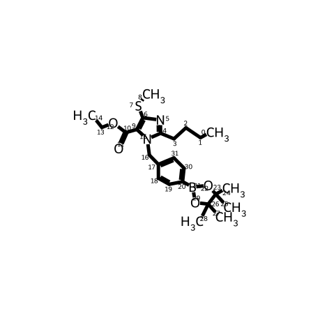 CCCCc1nc(SC)c(C(=O)OCC)n1Cc1ccc(B2OC(C)(C)C(C)(C)O2)cc1